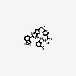 COc1cccc(Nc2nc(-c3cccc4[nH]ncc34)nc3cc(CN(C)c4ncc(C(=O)NO)cn4)sc23)c1